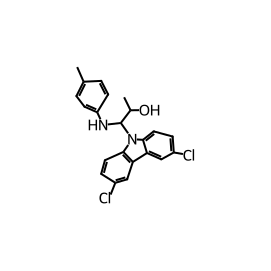 Cc1ccc(NC(C(C)O)n2c3ccc(Cl)cc3c3cc(Cl)ccc32)cc1